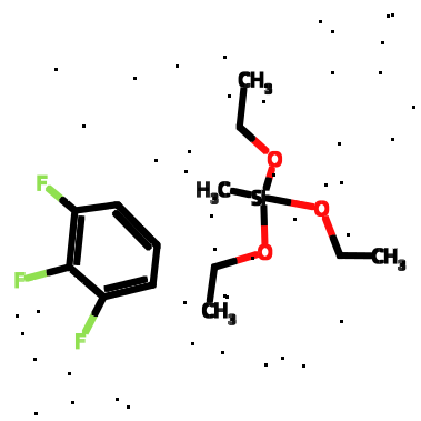 CCO[Si](C)(OCC)OCC.Fc1cccc(F)c1F